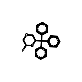 FC1COCC(C(c2ccccc2)(c2ccccc2)c2ccccc2)[N]1